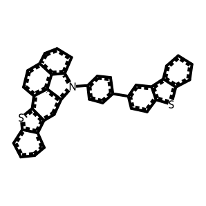 c1ccc2c(c1)sc1ccc(-c3ccc(-n4c5cccc6ccc7c8sc9ccccc9c8cc4c7c65)cc3)cc12